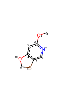 COc1cc2c(cn1)SCO2